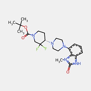 Cn1c(=O)[nH]c2cccc(N3CCN([C@H]4CCN(C(=O)OC(C)(C)C)CC4(F)F)CC3)c21